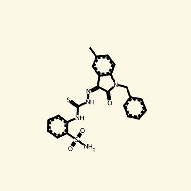 Cc1ccc2c(c1)C(=NNC(=S)Nc1ccccc1S(N)(=O)=O)C(=O)N2Cc1ccccc1